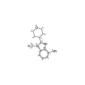 CC(C)c1cccc2c1nc(C1CCOCC1)n2C